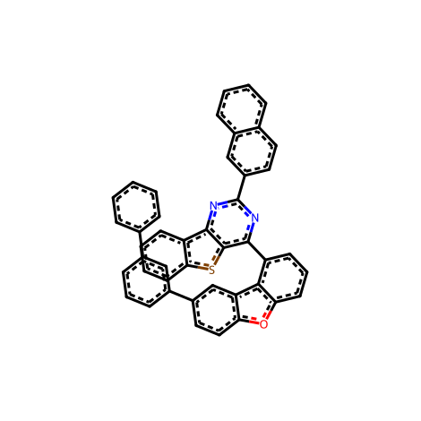 c1ccc(-c2cccc(-c3ccc4oc5cccc(-c6nc(-c7ccc8ccccc8c7)nc7c6sc6ccccc67)c5c4c3)c2)cc1